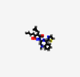 CCCCC(O)C(CC1CC1)C(=O)NC1CN(C)c2ccccc2C(c2nccs2)=N1